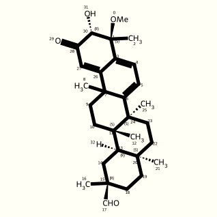 CO[C@@]1(C)C2=CC=C3C(C)(CC[C@@]4(C)[C@@H]5C[C@](C)(C=O)CC[C@]5(C)CC[C@]34C)C2=CC(=O)[C@@H]1O